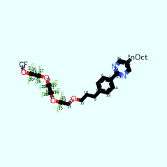 CCCCCCCCc1cnc(-c2ccc(CCCOCC(F)(F)OC(F)(F)C(F)(F)OC(F)(F)C(F)(F)OC(F)(F)F)cc2)nc1